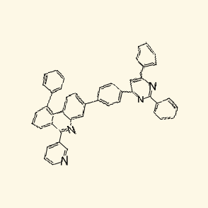 c1ccc(-c2cc(-c3ccc(-c4ccc5c(c4)nc(-c4cccnc4)c4cccc(-c6ccccc6)c45)cc3)nc(-c3ccccc3)n2)cc1